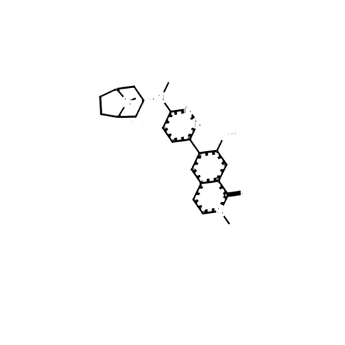 CN1C2CCC1[C@@H](F)[C@@H](N(C)c1ccc(-c3cc4ccn(C)c(=O)c4cc3O)nn1)C2